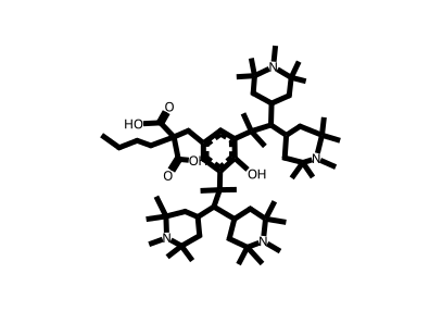 CCCCC(Cc1cc(C(C)(C)C(C2CC(C)(C)N(C)C(C)(C)C2)C2CC(C)(C)N(C)C(C)(C)C2)c(O)c(C(C)(C)C(C2CC(C)(C)N(C)C(C)(C)C2)C2CC(C)(C)N(C)C(C)(C)C2)c1)(C(=O)O)C(=O)O